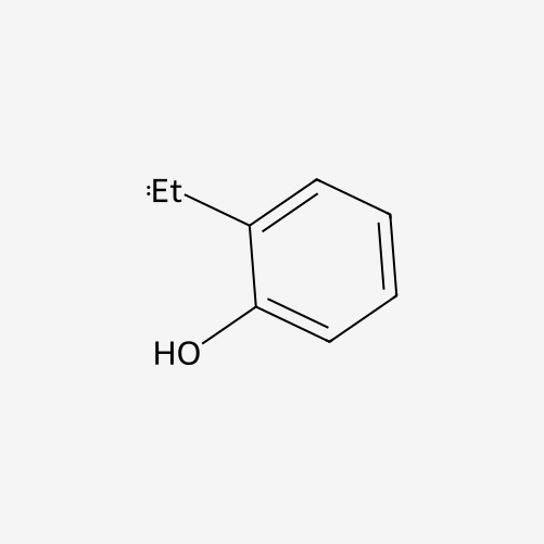 C[C]c1ccccc1O